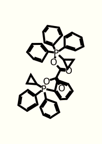 O=C(OP(c1ccccc1)(c1ccccc1)(c1ccccc1)C1CC1)C(=O)OP(c1ccccc1)(c1ccccc1)(c1ccccc1)C1CC1